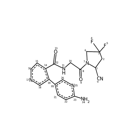 N#CC1CC(F)(F)CN1C(=O)CNC(=O)c1ccncc1-c1ccc(N)nc1